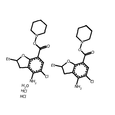 CCC1Cc2c(N)c(Cl)cc(C(=O)ON3CCCCC3)c2O1.CCC1Cc2c(N)c(Cl)cc(C(=O)ON3CCCCC3)c2O1.Cl.Cl.O